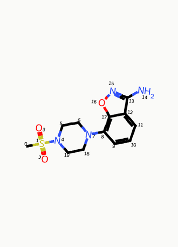 CS(=O)(=O)N1CCN(c2cccc3c(N)noc23)CC1